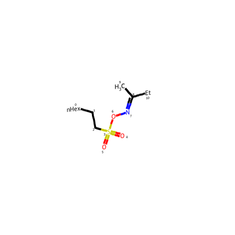 CCCCCCCCS(=O)(=O)ON=C(C)CC